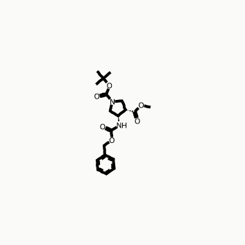 COC(=O)[C@H]1CN(C(=O)OC(C)(C)C)C[C@H]1NC(=O)OCc1ccccc1